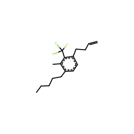 C=CCCc1ccc(CCCCC)c(C)c1C(F)(F)F